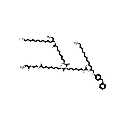 C=CC(=O)OCCOC(=O)CCCCCCCNC(=O)N(CCCCCCNC(=O)OC(CCCCCCCCCCCC)COc1ccc([I+]c2ccccc2)cc1)C(=O)NCCCCCCCC(=O)OC(CC)CCCCCCCCCCCC